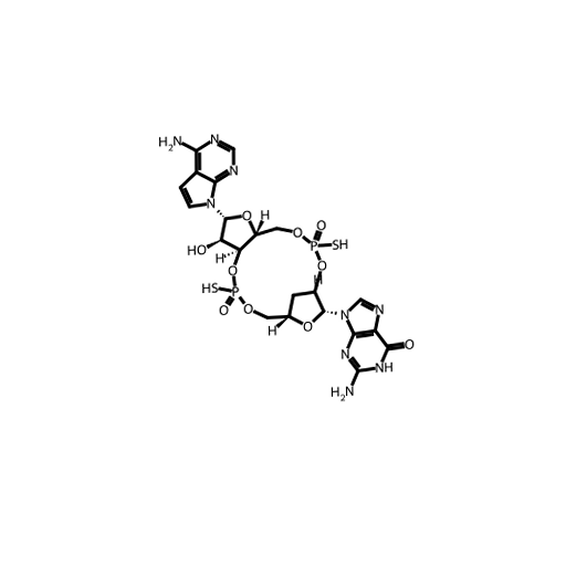 Nc1nc2c(ncn2[C@@H]2O[C@@H]3COP(=O)(S)O[C@H]4[C@@H](O)[C@H](n5ccc6c(N)ncnc65)O[C@@H]4COP(=O)(S)O[C@@H]2C3)c(=O)[nH]1